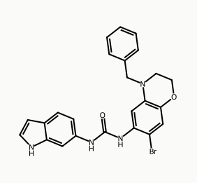 O=C(Nc1ccc2cc[nH]c2c1)Nc1cc2c(cc1Br)OCCN2Cc1ccccc1